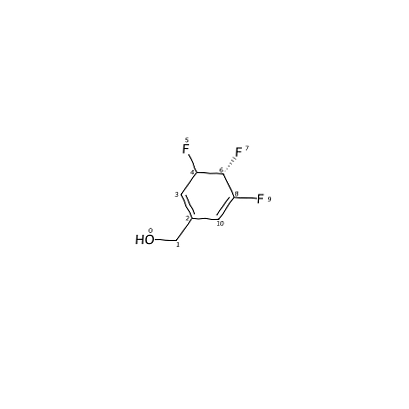 OCC1=CC(F)[C@H](F)C(F)=C1